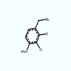 COc1ccc(CC(C)(C)C)c(Cl)c1Cl